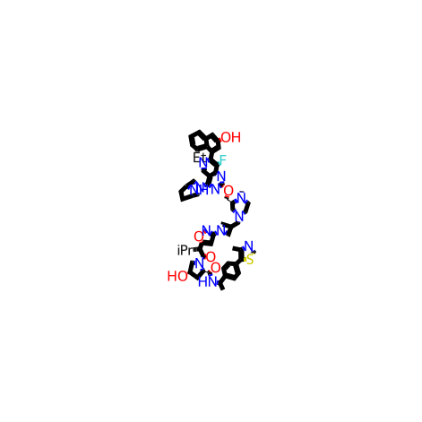 CCc1cccc2cc(O)cc(-c3ncc4c(N5CC6CCC(C5)N6)nc(OC[C@H]5CN(CC6CN(c7cc(C(C(=O)N8C[C@H](O)C[C@H]8C(=O)NC(C)c8ccc(-c9scnc9C)cc8)C(C)C)on7)C6)CCN5C)nc4c3F)c12